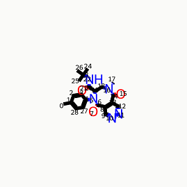 Cc1ccc(N2C(=O)c3cnncc3C(=O)N(C)CC2C(=O)NC(C)(C)C)cc1